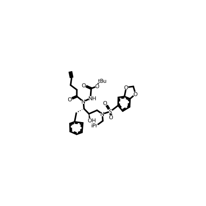 C#CCCC(=O)N(NC(=O)OC(C)(C)C)[C@@H](Cc1ccccc1)[C@H](O)CN(CC(C)C)S(=O)(=O)c1ccc2c(c1)OCO2